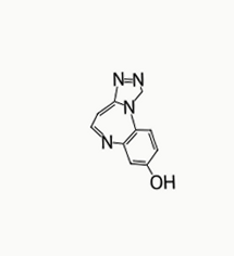 Oc1ccc2c(c1)N=CC=C1N=NCN12